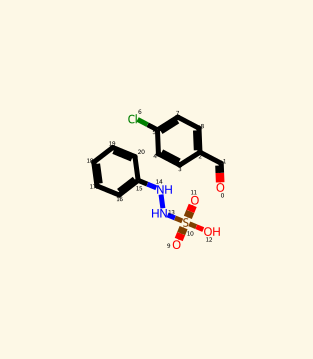 O=Cc1ccc(Cl)cc1.O=S(=O)(O)NNc1ccccc1